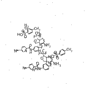 CC(F)(F)C1OCC2(c3cc(NC(=O)c4ccc(C#N)cn4)ccc3F)N=C(N)SCC12.CC(F)(F)[C@H]1OC[C@]2(c3cc(NC(=O)c4ccc(C#N)cn4)ccc3F)N=C(N)SC[C@H]12.Cc1ccc(S(=O)(=O)O)cc1.Cc1ccc(S(=O)(=O)O)cc1.O